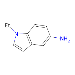 CCn1ccc2cc(N)ccc21